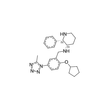 Cc1nnnn1-c1ccc(OC2CCCC2)c(CN[C@H]2CCCN[C@H]2c2ccccc2)c1